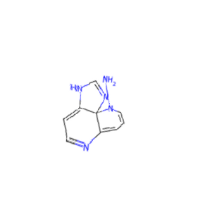 NN1C=CC=C2N=CC=C3NC=NC231